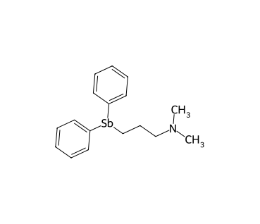 CN(C)CC[CH2][Sb]([c]1ccccc1)[c]1ccccc1